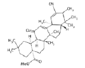 [C-]#[N+]C1=C[C@]2(C)C3=CC(=O)[C@@H]4[C@@H]5CC(C)(C)CC[C@]5(C(=O)OC)CC[C@@]4(C)[C@]3(C)CC[C@H]2C(C)(C)C1C